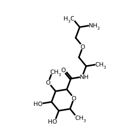 COC1C(C(=O)NC(C)COCC(C)N)OC(C)C(O)C1O